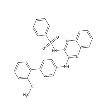 COc1ccccc1-c1ccc(Nc2nc3ccccc3nc2NS(=O)(=O)c2ccccc2)cc1